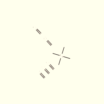 C[N+](C)(C)C.[C]=O.[C]=O.[C]=O.[C]=O.[C]=O